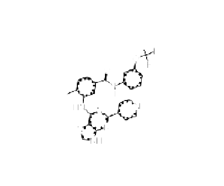 Cc1ccc(C(=O)Nc2cccc(OC(F)(F)F)c2)cc1Nc1nc(-c2ccncc2)nc2[nH]cnc12